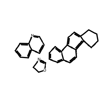 C1=NCCO1.c1ccc2c(c1)ccc1c3c(ccc12)CCCC3.c1ccc2ncccc2c1